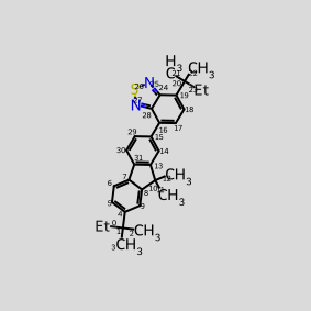 CCC(C)(C)c1ccc2c(c1)C(C)(C)c1cc(-c3ccc(C(C)(C)CC)c4nsnc34)ccc1-2